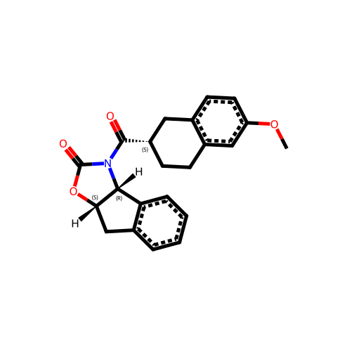 COc1ccc2c(c1)CC[C@H](C(=O)N1C(=O)O[C@H]3Cc4ccccc4[C@H]31)C2